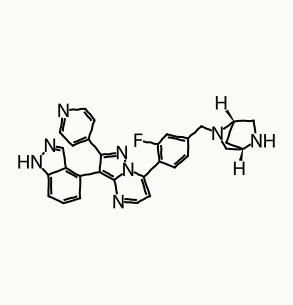 Fc1cc(CN2C[C@@H]3C[C@H]2CN3)ccc1-c1ccnc2c(-c3cccc4[nH]ncc34)c(-c3ccncc3)nn12